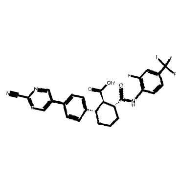 N#Cc1ncc(-c2ccc([C@H]3CCC[C@@H](C(=O)Nc4ccc(C(F)(F)F)cc4F)[C@@H]3C(=O)O)cc2)cn1